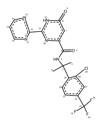 CC(C)(NC(=O)c1cc(=O)[nH]c(-c2ncccn2)n1)c1ccc(C(F)(F)F)cc1Cl